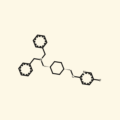 Fc1ccc(OC[C@H]2CC[C@@H](CN(Cc3ccccc3)Cc3ccccc3)CC2)nc1